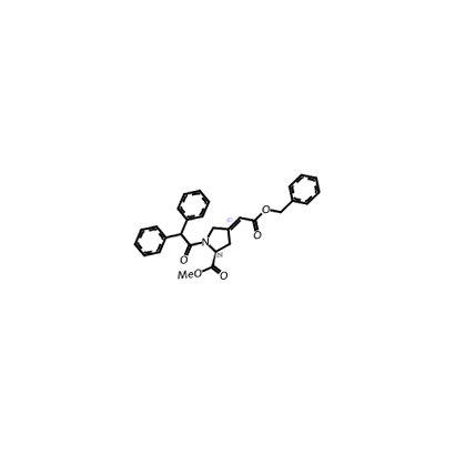 COC(=O)[C@@H]1C/C(=C\C(=O)OCc2ccccc2)CN1C(=O)C(c1ccccc1)c1ccccc1